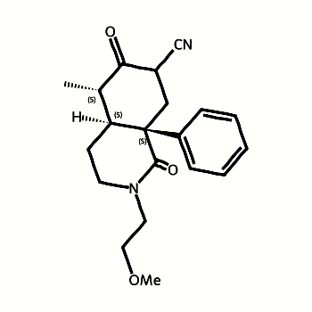 COCCN1CC[C@H]2[C@H](C)C(=O)C(C#N)C[C@]2(c2ccccc2)C1=O